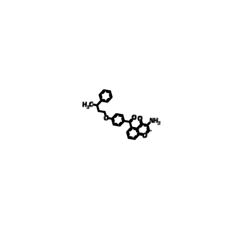 CC(CCOc1ccc(C(=O)c2cccc3o[c]c(N)c(=O)c23)cc1)c1ccccc1